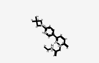 C=C(CN1N=C(c2ccc(N3CC(C)(C)C3)nc2)C=CC1=C)NCC